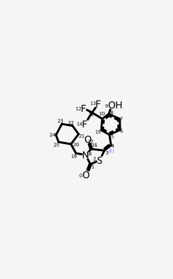 O=C1S/C(=C/c2ccc(O)c(C(F)(F)F)c2)C(=O)N1CC1CCCCC1